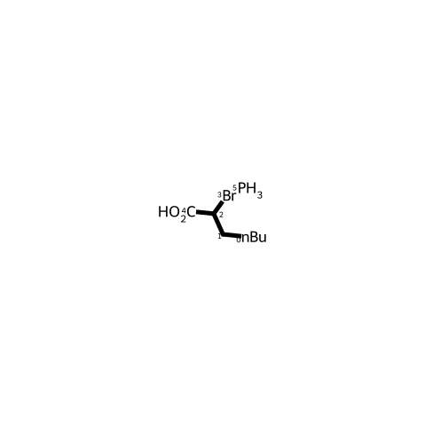 CCCCCC(Br)C(=O)O.P